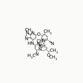 C=[N+](C)/C(=C\C(=N/C)NCCC(C)OC)Nc1cc(Oc2cnc(C#N)cc2C)nc2c1ncn2C